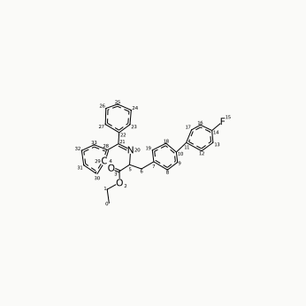 CCOC(=O)C(Cc1ccc(-c2ccc(F)cc2)cc1)N=C(c1ccccc1)c1ccccc1